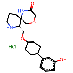 Cl.O=C1COC[C@@]2(CCCN[C@H]2COC2CCC(c3cccc(O)c3)CC2)N1